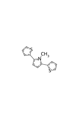 Cn1c(-c2cccs2)ccc1-c1cccs1